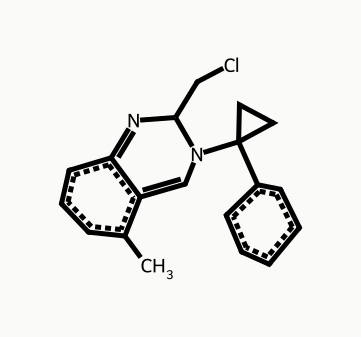 Cc1cccc2c1=CN(C1(c3ccccc3)CC1)C(CCl)N=2